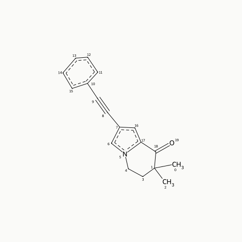 CC1(C)CCn2cc(C#Cc3ccccc3)cc2C1=O